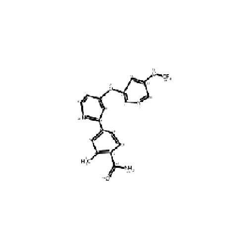 Cc1cc(-c2cc(Oc3cncc(OC(F)(F)F)c3)ccn2)ccc1C(N)=O